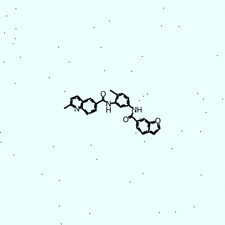 Cc1ccc2cc(C(=O)Nc3cc(NC(=O)c4ccc5ccoc5c4)ccc3C)ccc2n1